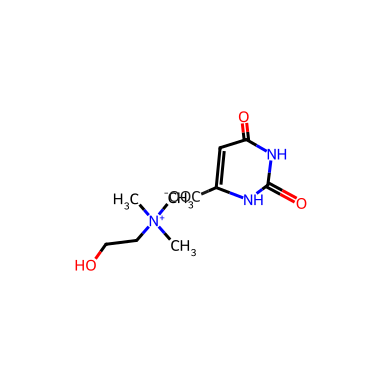 C[N+](C)(C)CCO.O=C([O-])c1cc(=O)[nH]c(=O)[nH]1